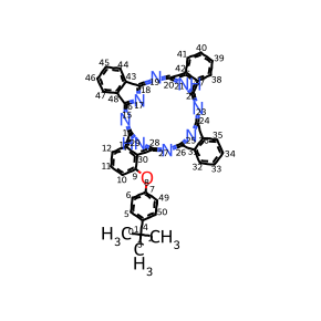 CC(C)(C)c1ccc(Oc2cccc3c4nc5nc(nc6[nH]c(nc7nc(nc([nH]4)c23)-c2ccccc2-7)c2ccccc62)-c2ccccc2-5)cc1